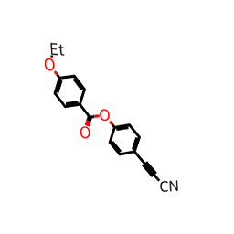 CCOc1ccc(C(=O)Oc2ccc(C#CC#N)cc2)cc1